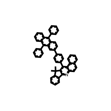 CC1(C)c2ccccc2-c2nc3ccc4ccccc4c3c(-c3ccc(-c4ccc5c(-c6ccccc6)c6ccccc6c(-c6ccccc6)c5c4)cc3)c21